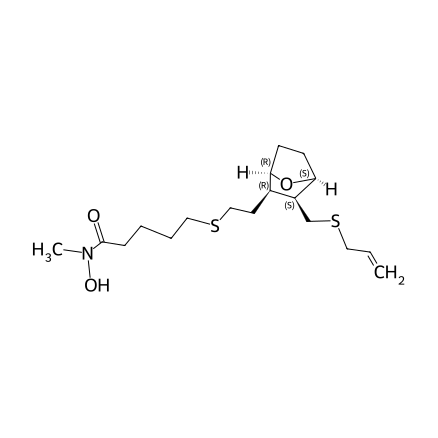 C=CCSC[C@H]1[C@@H](CCSCCCCC(=O)N(C)O)[C@H]2CC[C@@H]1O2